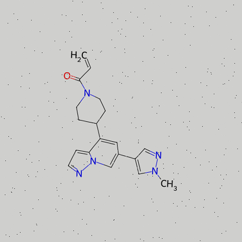 C=CC(=O)N1CCC(c2cc(-c3cnn(C)c3)cn3nccc23)CC1